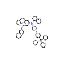 c1ccc([Si](c2ccccc2)(c2ccccc2)c2ccc(-c3ccc(N(c4cc5ccc6cccc7c6c5c(c4)n7-c4ccc5ccccc5c4)c4cccc5ccccc45)cc3)cc2)cc1